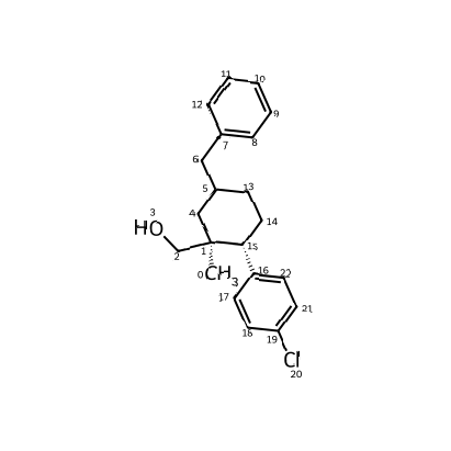 C[C@]1(CO)CC(Cc2ccccc2)CC[C@@H]1c1ccc(Cl)cc1